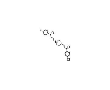 O=C(C=CC1CCN(CCCC(=O)c2ccc(F)cc2)CC1)c1ccc(Cl)cc1